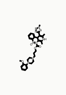 COc1ccccc1N1CCN(CCCOC(=O)OC2=C(C)NC(C)=C(c3nnn(C)n3)C2c2ccccc2[N+](=O)[O-])CC1